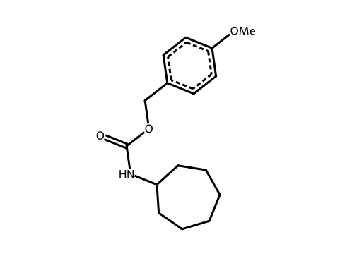 COc1ccc(COC(=O)NC2CCCCCC2)cc1